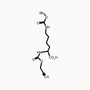 C#CCOC(=O)NC(CCCCNC(=O)OC(C)(C)C)C(=O)O